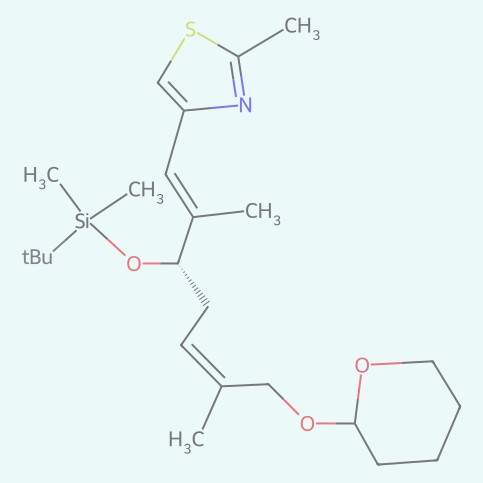 C/C(=C/C[C@H](O[Si](C)(C)C(C)(C)C)/C(C)=C/c1csc(C)n1)COC1CCCCO1